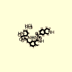 Cc1ccc(C[C@@H](N)C(=O)[C@]2(C(=O)O)CC=CCN2)cc1C(=N)NS(=O)(=O)c1ccc2c(c1)CNCC2.Cl.Cl